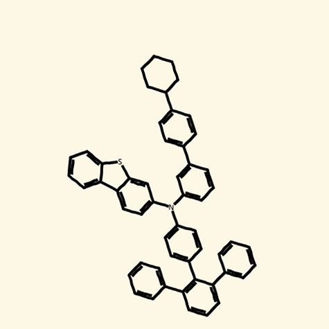 c1ccc(-c2cccc(-c3ccccc3)c2-c2ccc(N(c3cccc(-c4ccc(C5CCCCC5)cc4)c3)c3ccc4c(c3)sc3ccccc34)cc2)cc1